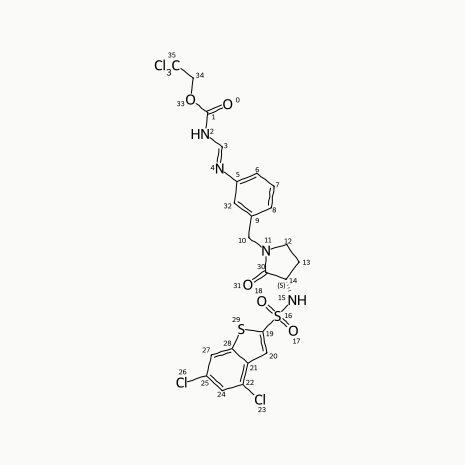 O=C(NC=Nc1cccc(CN2CC[C@H](NS(=O)(=O)c3cc4c(Cl)cc(Cl)cc4s3)C2=O)c1)OCC(Cl)(Cl)Cl